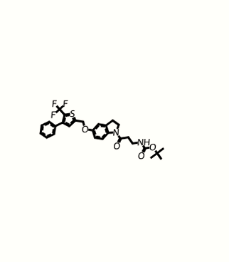 CC(C)(C)OC(=O)NCCC(=O)N1CCc2cc(OCc3cc(-c4ccccc4)c(C(F)(F)F)s3)ccc21